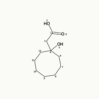 O=C(O)CC1(O)CCCCCCC1